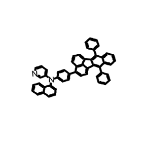 c1ccc(-c2c3c(c(-c4ccccc4)c4ccccc24)-c2ccc(-c4ccc(N(c5cccnc5)c5cccc6ccccc56)cc4)c4cccc-3c24)cc1